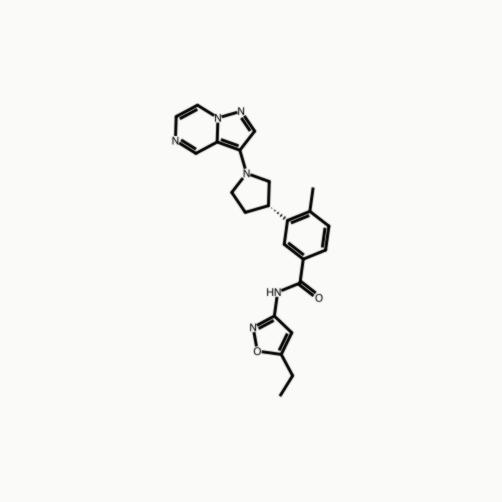 CCc1cc(NC(=O)c2ccc(C)c([C@@H]3CCN(c4cnn5ccncc45)C3)c2)no1